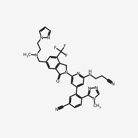 CN(CCn1cccn1)Cc1cc2c(c(C(F)(F)F)c1)CN(c1cc(-c3cc(C#N)ccc3-c3nncn3C)cc(NCCC#N)n1)C2=O